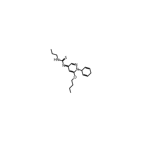 CCCCOc1cc(=NC(=S)NCCC)cnn1C1C=CCC=C1